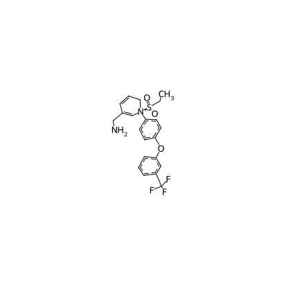 CCS(=O)(=O)[N+]1(c2ccc(Oc3cccc(C(F)(F)F)c3)cc2)C=C(CN)C=CC1